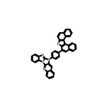 c1ccc2nc3c(cc2c1)n(-c1ccc(-c2cc4ccccc4c4c2oc2ccc5ccccc5c24)cc1)c1nc2ccccc2n31